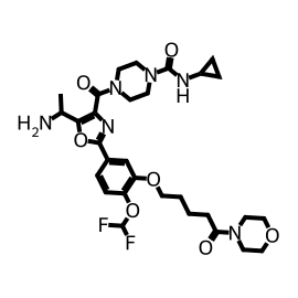 CC(N)c1oc(-c2ccc(OC(F)F)c(OCCCCC(=O)N3CCOCC3)c2)nc1C(=O)N1CCN(C(=O)NC2CC2)CC1